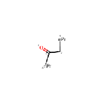 C[CH]CC(=O)CCCC